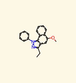 CCc1nn(-c2ccccc2)c2c1cc(OC)c1ccccc12